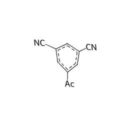 CC(=O)c1cc(C#N)cc(C#N)c1